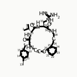 CC(C)[C@H]1NC(=O)[C@@H](Cc2ccc(I)cc2)NCCOc2ccccc2CCCNC(=O)[C@H](CNC(=N)N)NC1=O